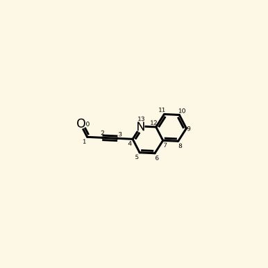 O=CC#Cc1ccc2ccccc2n1